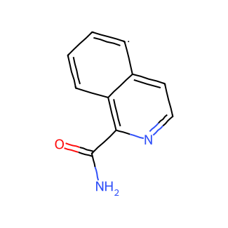 NC(=O)c1nccc2[c]cccc12